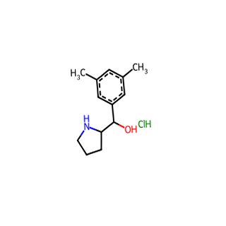 Cc1cc(C)cc(C(O)C2CCCN2)c1.Cl